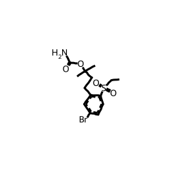 CCS(=O)(=O)c1ccc(Br)cc1CCC(C)(C)OC(N)=O